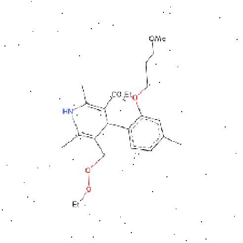 CCOOCC1=C(C)NC(C)=C(C(=O)OCC)C1c1ccc(C)cc1OCCCOC